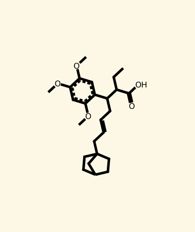 CCC(C(=O)O)C(CC=CCC12CCC(CC1)C2)c1cc(OC)c(OC)cc1OC